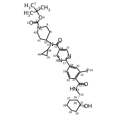 CC(C)(C)OC(=O)N1CCC(N(C(=O)c2cnc(-c3ccc(C(=O)NC[C@H]4CCCC[C@H]4O)c(F)c3)nc2)C2CC2)CC1